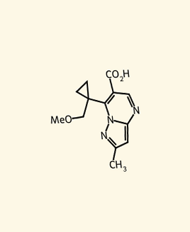 COCC1(c2c(C(=O)O)cnc3cc(C)nn23)CC1